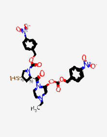 CCN1CCN(C(=O)[C@@H]2C[C@H](S)CN2C(=O)OCc2ccc([N+](=O)[O-])cc2)C(OC(=O)OCc2ccc([N+](=O)[O-])cc2)C1